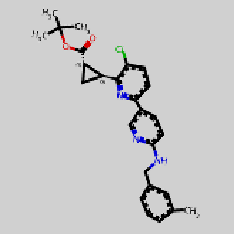 Cc1cccc(CNc2ccc(-c3ccc(Cl)c([C@H]4C[C@@H]4C(=O)OC(C)(C)C)n3)cn2)c1